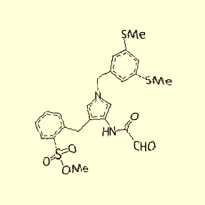 COS(=O)(=O)c1ccccc1Cc1cn(Cc2cc(SC)cc(SC)c2)cc1NC(=O)C=O